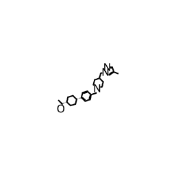 Cc1cnn(CC2CCN(Cc3ccc([C@H]4CC[C@@H](C(C)=O)CC4)cc3)CC2)c1